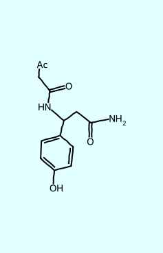 CC(=O)CC(=O)NC(CC(N)=O)c1ccc(O)cc1